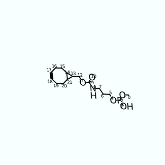 COP(O)OCCCNC(=O)OCC1C2CCC#CCCC21